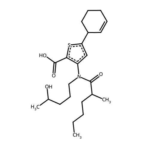 CCCCC(C)C(=O)N(CCCC(C)O)c1cc(C2C=CCCC2)sc1C(=O)O